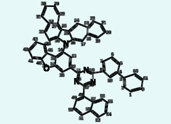 c1ccc(-c2cccc(-c3nc(-c4cc(-n5c6cc7ccccc7cc6c6c7ccccc7ccc65)c5c(c4)oc4ccccc45)nc(-c4cccc5ccccc45)n3)c2)cc1